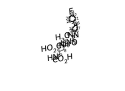 Cn1c(C(=O)NCC(CCCNC(=O)O)NC(=O)O)nc2ccc(-c3ccc(F)cc3)cc21